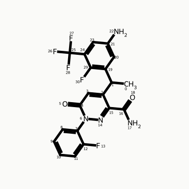 CC(c1cc(=O)n(-c2ccccc2F)nc1C(N)=O)c1cc(N)cc(C(F)(F)F)c1F